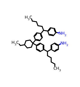 CCCCCC(c1ccc(N)cc1)c1ccc(C2(c3ccc(C(CCCCC)c4ccc(N)cc4)cc3)CCC(CC)CC2)cc1